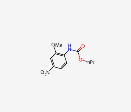 CCCOC(=O)Nc1ccc([N+](=O)[O-])cc1OC